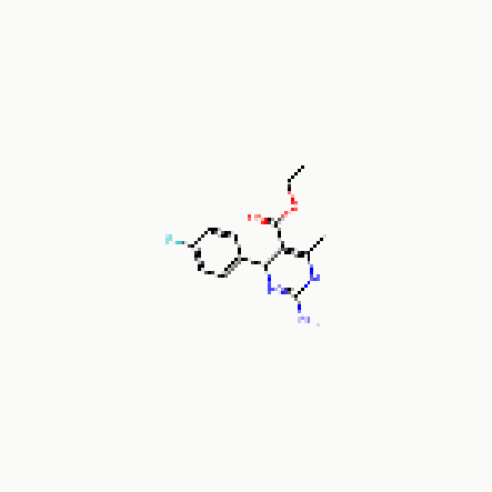 CCOC(=O)C1=C(C)NC(N)=NC1c1ccc(F)cc1